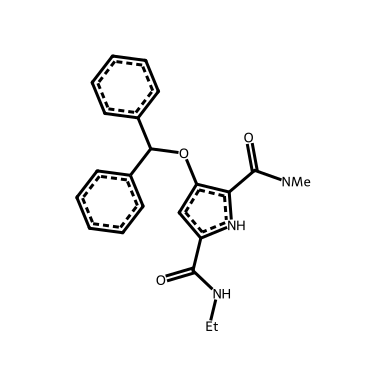 CCNC(=O)c1cc(OC(c2ccccc2)c2ccccc2)c(C(=O)NC)[nH]1